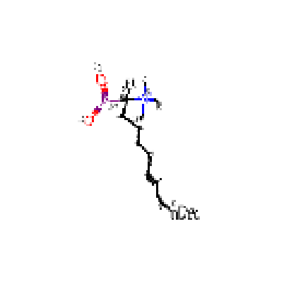 CCCCCCCCCCCC=CCCCCC(CC)(P(=O)=O)[N+](C)(C)C